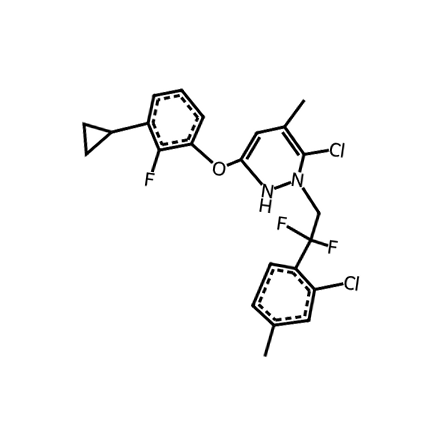 CC1=C(Cl)N(CC(F)(F)c2ccc(C)cc2Cl)NC(Oc2cccc(C3CC3)c2F)=C1